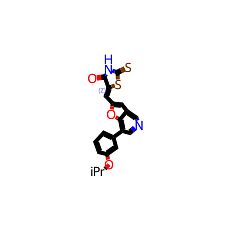 CC(C)Oc1cccc(-c2cncc3cc(/C=C4\SC(=S)NC4=O)oc23)c1